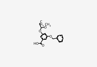 CCC(OC)Oc1cc(OCc2ccccc2)cc(C(=O)O)c1